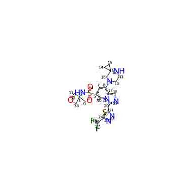 CC1(NS(=O)(=O)c2cc(N3CCNC4(CC4)C3)c3cnc(-c4nnc(C(F)F)s4)n3c2)COC1